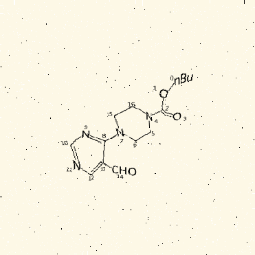 CCCCOC(=O)N1CCN(c2ncncc2C=O)CC1